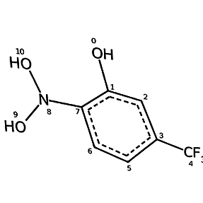 Oc1cc(C(F)(F)F)ccc1N(O)O